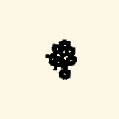 CC1=C(/c2cccc3ccccc23)c2ccccc2/C(c2ccc3c(c2)c2ccccc2n3-c2ccccc2)=C(C)/C=C\C(C)/C=C\1